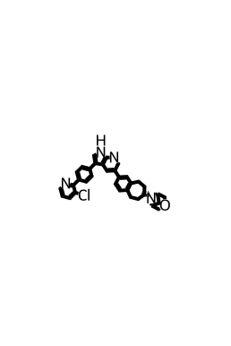 Clc1cccnc1-c1ccc(-c2c[nH]c3ncc(-c4ccc5c(c4)CC[C@@H](N4C6COCC4C6)CC5)cc23)cc1